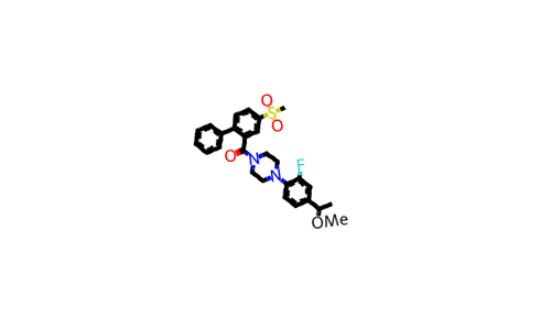 COC(C)c1ccc(N2CCN(C(=O)c3cc(S(C)(=O)=O)ccc3-c3ccccc3)CC2)c(F)c1